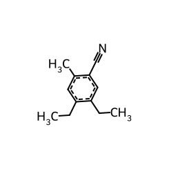 CCc1cc(C)c(C#N)cc1CC